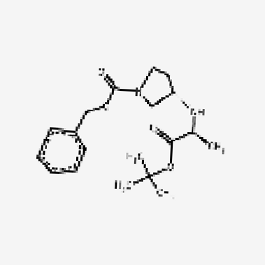 C[C@H](N[C@H]1CCN(C(=O)OCc2ccccc2)C1)C(=O)OC(C)(C)C